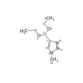 CCOC(OCC)c1cn(C)nn1